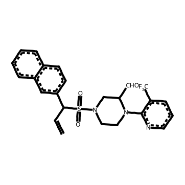 C=CC(c1ccc2ccccc2c1)S(=O)(=O)N1CCN(c2ncccc2C(F)(F)F)C(C=O)C1